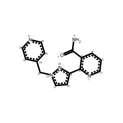 NC(=O)c1cccnc1-c1ccn(Cc2ccncc2)n1